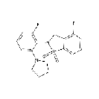 O=S1(=O)c2cccc(F)c2CN1c1c(F)cccc1N1CCCC1